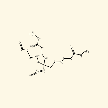 COC(=O)CCOCCC(COCCC=O)(N=C=O)OCCC(=O)OC